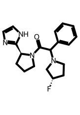 O=C(C(c1ccccc1)N1CC[C@H](F)C1)N1CCC[C@H]1c1ncc[nH]1